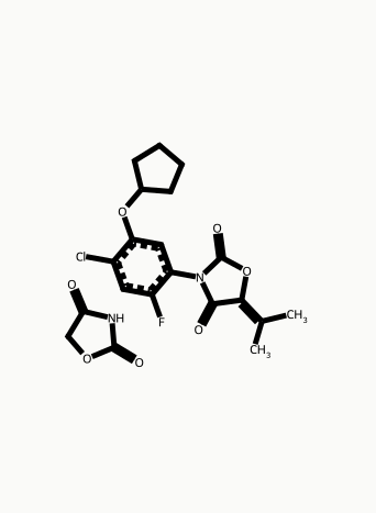 CC(C)=C1OC(=O)N(c2cc(OC3CCCC3)c(Cl)cc2F)C1=O.O=C1COC(=O)N1